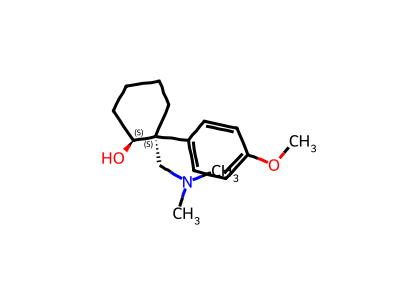 COc1ccc([C@]2(CN(C)C)CCCC[C@@H]2O)cc1